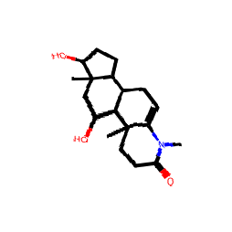 CN1C(=O)CCC2(C)C1=CCC1C2C(O)CC2(C)C(O)CCC12